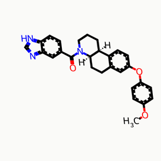 COc1ccc(Oc2ccc3c(c2)CC[C@@H]2[C@H]3CCCN2C(=O)c2ccc3[nH]cnc3c2)cc1